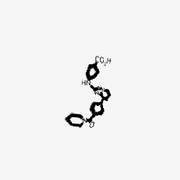 O=C(O)c1ccc(Nc2nc3c(-c4ccc(C(=O)N5CCCCC5)cc4)cccn3n2)cc1